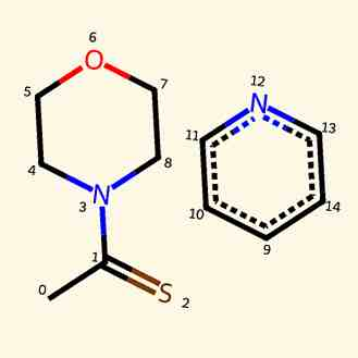 CC(=S)N1CCOCC1.c1ccncc1